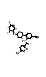 Cc1cnc(C(=O)Nc2cc(C#N)ccc2N2CCC(Oc3ccc(F)cc3F)CC2)cn1